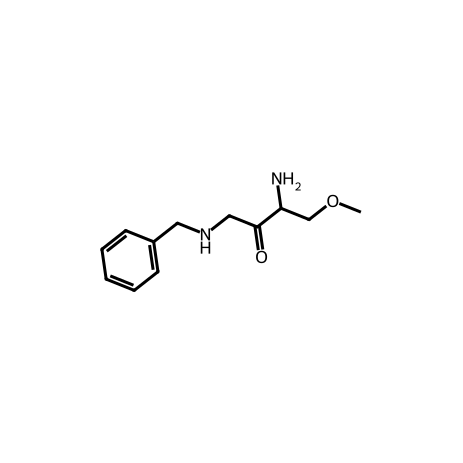 COCC(N)C(=O)CNCc1ccccc1